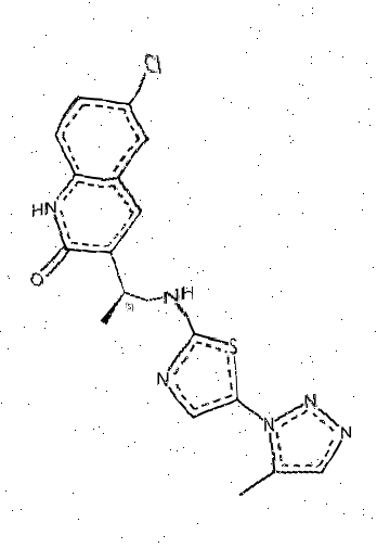 Cc1cnnn1-c1cnc(N[C@@H](C)c2cc3cc(Cl)ccc3[nH]c2=O)s1